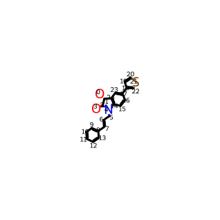 O=C1C(=O)N(C/C=C/c2ccccc2)c2ccc(-c3ccsc3)cc21